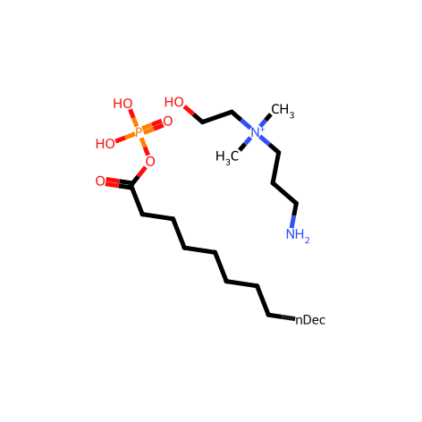 CCCCCCCCCCCCCCCCCC(=O)OP(=O)(O)O.C[N+](C)(CCO)CCCN